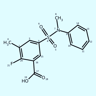 Cc1cc(S(=O)(=O)N(C)c2ccccc2)cc(C(=O)O)c1F